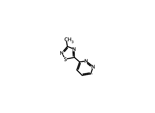 Cc1nsc(-c2cc[c]nn2)n1